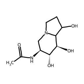 CC(=O)N[C@H]1CN2CCC(O)C2[C@@H](O)[C@@H]1O